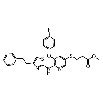 COC(=O)CCSc1cnc(Nc2nc(CCc3ccccc3)cs2)c(Oc2ccc(F)cc2)c1